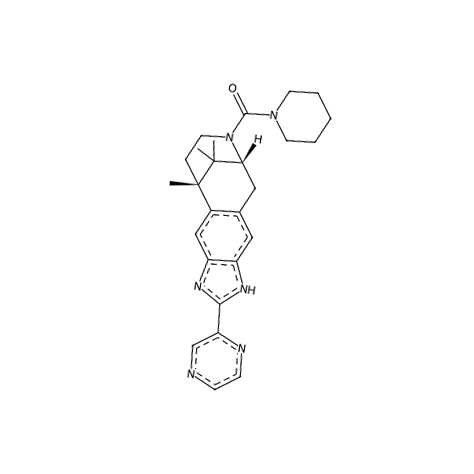 CC1(C)[C@H]2Cc3cc4[nH]c(-c5cnccn5)nc4cc3[C@]1(C)CCN2C(=O)N1CCCCC1